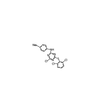 N#Cc1ccc(Nc2nc(Cl)nc(Sc3c(Cl)cccc3Cl)n2)cc1